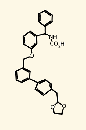 O=C(O)NC(c1ccccc1)c1cccc(OCc2cccc(-c3ccc(CC4OCCO4)cc3)c2)c1